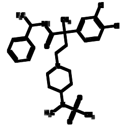 CN(C1CCN(CCC(C)(C(=O)NC(c2ccccc2)C(F)(F)F)c2ccc(Cl)c(Cl)c2)CC1)S(C)(=O)=O